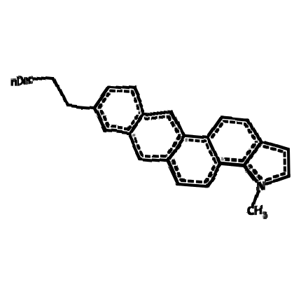 CCCCCCCCCCCCc1ccc2cc3c(ccc4c3ccc3ccn(C)c34)cc2c1